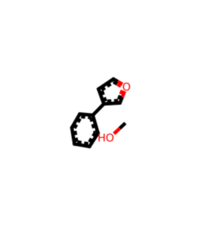 CO.c1ccc(-c2ccoc2)cc1